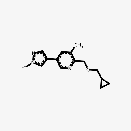 CCn1cc(-c2cnc(COCC3CC3)c(C)c2)cn1